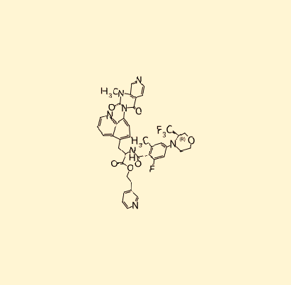 Cc1cc(N2CCOC[C@@H]2C(F)(F)F)cc(F)c1C(=O)NC(Cc1ccc(-n2c(=O)c3ccncc3n(C)c2=O)c2ncccc12)C(=O)OCCc1cccnc1